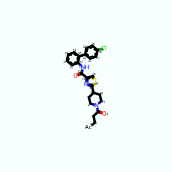 CC(=O)CCC(=O)N1CCC(c2nc(C(=O)Nc3ccccc3-c3ccc(Cl)cc3)cs2)CC1